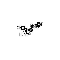 N[C@H]1CSc2ccc(C(=O)NCc3ccc(F)cc3)cc2N(Cc2ccc(Cl)cc2)C1=O